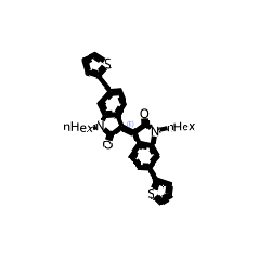 CCCCCCN1C(=O)/C(=C2/C(=O)N(CCCCCC)c3cc(-c4cccs4)ccc32)c2ccc(-c3cccs3)cc21